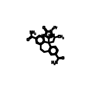 CC(C)n1nc(C2(C[C@H](C)N)c3ccc(C(N)=O)cc3CCc3cc(C(N)=O)ccc32)[nH]c1=O